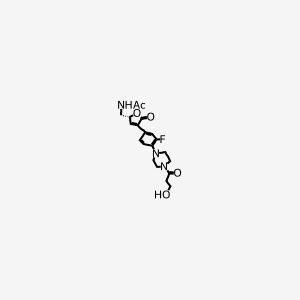 CC(=O)NC[C@H]1C=C(c2ccc(N3CCN(C(=O)CCO)CC3)c(F)c2)C(=O)O1